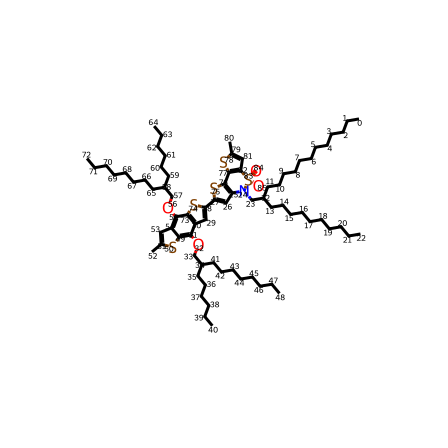 CCCCCCCCCCCCC(CCCCCCCCCC)CN1c2cc(-c3cc4c(OCC(CCCCCC)CCCCCCCC)c5sc(C)cc5c(OCC(CCCCCC)CCCCCCCC)c4s3)sc2-c2sc(C)cc2S1(=O)=O